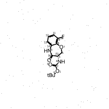 CC(C)(C)OC(=O)N[C@H]1COc2c(F)cccc2NC1=O